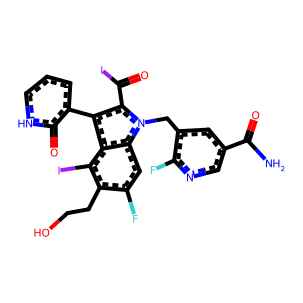 NC(=O)c1cnc(F)c(Cn2c(C(=O)I)c(-c3ccc[nH]c3=O)c3c(I)c(CCO)c(F)cc32)c1